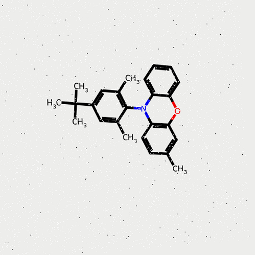 Cc1ccc2c(c1)Oc1ccccc1N2c1c(C)cc(C(C)(C)C)cc1C